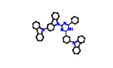 c1ccc(C2=NC(n3c4ccccc4c4cc(-n5c6ccccc6c6ccccc65)ccc43)=NC(c3cccc(-n4c5ccccc5c5ccccc54)c3)N2)cc1